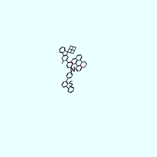 CC1CC2=C(C=C1c1ccc(N(c3ccc(-c4cccc5c4sc4ccccc45)cc3)c3ccccc3-c3cccc4cccc(C5CCCCC5)c34)cc1)C1(c3ccccc32)C2CC3CC4CC1C342